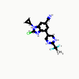 CC(F)(F)c1ncc(-c2cc(C#N)cc3c2nc(Cl)n3C2CC2)cn1